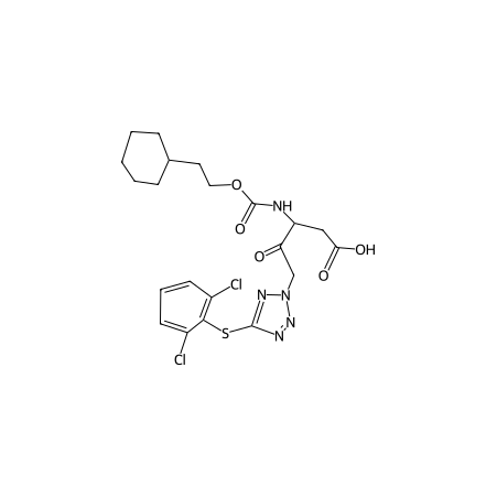 O=C(O)CC(NC(=O)OCCC1CCCCC1)C(=O)Cn1nnc(Sc2c(Cl)cccc2Cl)n1